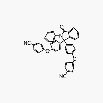 N#Cc1ccc(Oc2ccc(C3(c4ccc(Oc5ccc(C#N)cc5)cc4)c4ccccc4C(=O)N3c3ccccc3)cc2)cc1